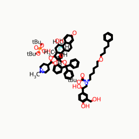 CC(C)(C)OC(=O)N(CCCCCCOCCCCc1ccccc1)CC(O)c1ccc(O)c(CO)c1.CC(C)(C)OP(=O)(O)OC(C)(C)C.CN1CCC(C2O[C@H]3C[C@H]4[C@@H]5CCC6=CC(=O)C=C[C@]6(C)C5(F)[C@@H](O)C[C@]4(C)[C@]3(C(=O)COC(c3ccccc3)(c3ccccc3)c3ccccc3)O2)CC1